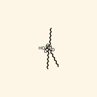 CCCCCCCCCC(=O)OC(C(=O)CCCCCCCCC)(C(=O)CCCCCCCCC)C(O)CO